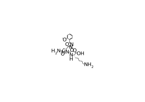 COc1ccccc1-c1nnc([C@H](CC(N)=O)NC(=O)N[C@@H](CCCCCN)C(=O)O)o1